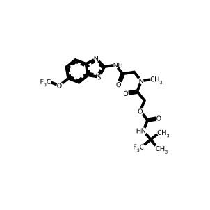 CN(CC(=O)Nc1nc2ccc(OC(F)(F)F)cc2s1)C(=O)COC(=O)NC(C)(C)C(F)(F)F